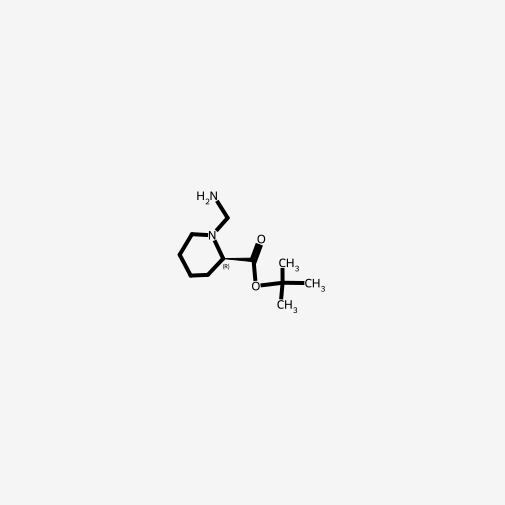 CC(C)(C)OC(=O)[C@H]1CCCCN1CN